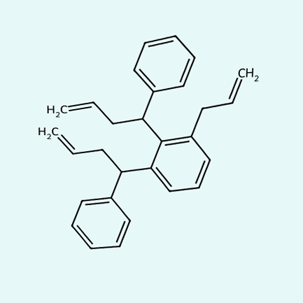 C=CCc1cccc(C(CC=C)c2ccccc2)c1C(CC=C)c1ccccc1